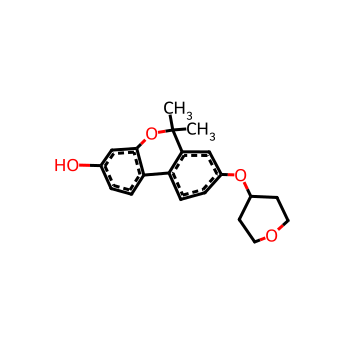 CC1(C)Oc2cc(O)ccc2-c2ccc(OC3CCOCC3)cc21